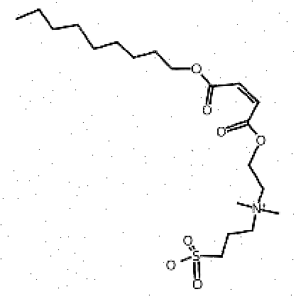 CCCCCCCCCOC(=O)/C=C\C(=O)OCC[N+](C)(C)CCCS(=O)(=O)[O-]